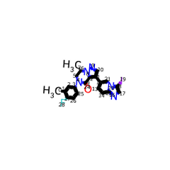 Cc1cc(N2C[C@H](C)n3ncc(-c4ccc5ncc(I)n5c4)c3C2=O)ccc1F